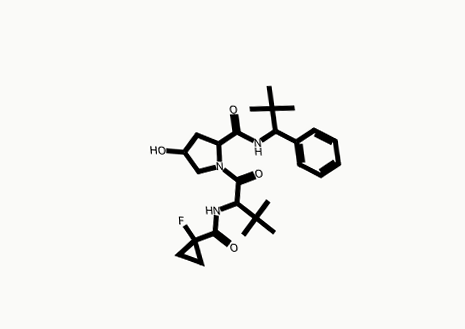 CC(C)(C)C(NC(=O)C1(F)CC1)C(=O)N1CC(O)CC1C(=O)NC(c1ccccc1)C(C)(C)C